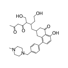 CC(=O)CC(=O)C(CO)C(CCO)CC1CC(=O)c2c(O)ccc(-c3ccc(CN4CCN(C)CC4)cc3)c2C1